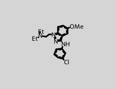 CCN(CC)CCn1nc(Nc2cccc(Cl)c2)c2cc(OC)ccc21